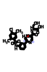 C=C(/C=N\C(=C/N)c1cccc(NS(=O)(=O)c2cc(C)c(Cl)cc2C)c1)C(=O)N[C@@H](CO)C(=O)O